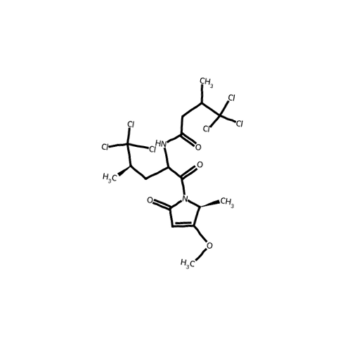 COC1=CC(=O)N(C(=O)C(C[C@@H](C)C(Cl)(Cl)Cl)NC(=O)CC(C)C(Cl)(Cl)Cl)[C@H]1C